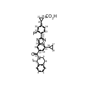 C[C@@H]1c2ccccc2CCN1C(=O)c1cc(C2CC2)n2nc(-c3ccc(C4C[C@@H]4C(=O)O)cc3F)nc2c1